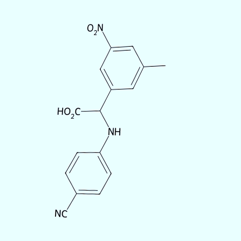 Cc1cc(C(Nc2ccc(C#N)cc2)C(=O)O)cc([N+](=O)[O-])c1